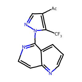 CC(=O)c1cnn(-c2nccc3ncccc23)c1C(F)(F)F